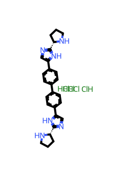 Cl.Cl.Cl.Cl.c1cc(-c2cnc([C@@H]3CCCN3)[nH]2)ccc1-c1ccc(-c2cnc([C@@H]3CCCN3)[nH]2)cc1